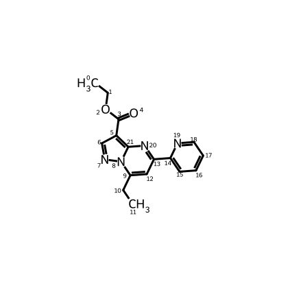 CCOC(=O)c1cnn2c(CC)cc(-c3ccccn3)nc12